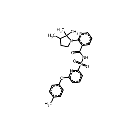 Cc1ccc(Oc2cccc(S(=O)(=O)NC(=O)c3cccnc3N3CCC(C)C3(C)C)n2)cc1